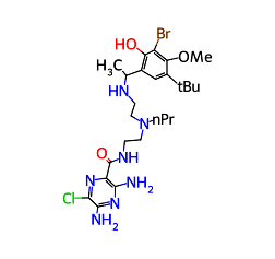 CCCN(CCNC(=O)c1nc(Cl)c(N)nc1N)CCNC(C)c1cc(C(C)(C)C)c(OC)c(Br)c1O